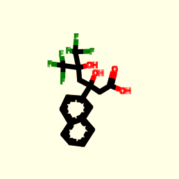 O=C(O)CC(O)(CC(O)(C(F)(F)F)C(F)(F)F)c1ccc2ccccc2c1